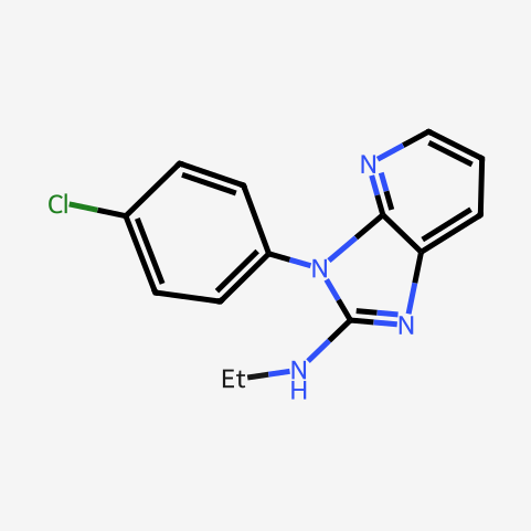 CCNc1nc2cccnc2n1-c1ccc(Cl)cc1